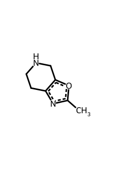 Cc1nc2c(o1)CNCC2